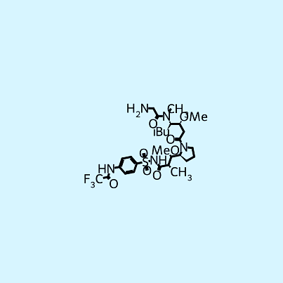 CC[C@H](C)[C@@H]([C@@H](CC(=O)N1CCC[C@H]1[C@H](OC)[C@@H](C)C(=O)NS(=O)(=O)c1ccc(NC(=O)C(F)(F)F)cc1)OC)N(C)C(=O)CN